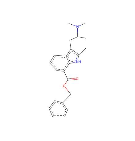 CN(C)C1CCc2[nH]c3c(C(=O)OCc4ccccc4)cccc3c2C1